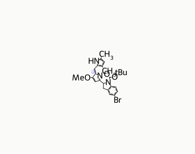 COC1=CC(C2Cc3cc(Br)ccc3N2C(=O)OC(C)(C)C)=N/C1=C\c1[nH]c(C)cc1C